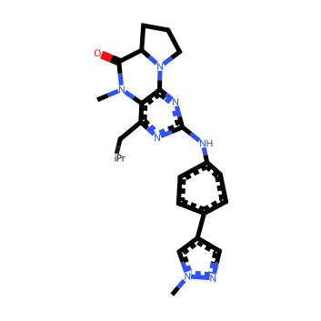 CC(C)Cc1nc(Nc2ccc(-c3cnn(C)c3)cc2)nc2c1N(C)C(=O)C1CCCN21